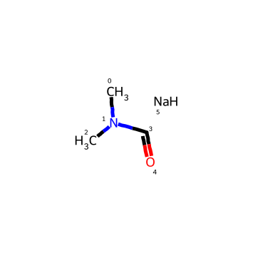 CN(C)C=O.[NaH]